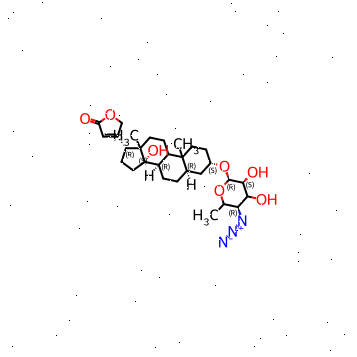 CC1O[C@@H](O[C@H]2CCC3(C)C4CCC5(C)[C@@H](C6=CC(=O)OC6)CC[C@]5(O)[C@@H]4CC[C@@H]3C2)[C@@H](O)C(O)[C@H]1N=[N+]=[N-]